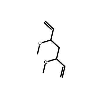 C=CC(CC(C=C)OC)OC